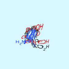 CC(C)C[C@H](NC(=O)[C@@H](NC(=O)[C@@H](NC(=O)[C@H](C)N)[C@@H](C)O)C(C)C)C(=O)N[C@@H](CC(N)=O)C(=O)N[C@@H](Cc1ccc(O)cc1)C(=O)N[C@@H](CC(C)C)C(=O)N1CCC[C@H]1C(=O)O